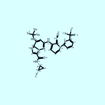 [2H]C([2H])([2H])Nc1cc(NC2=CC=CN(c3cccc(C(F)(F)F)n3)C2=C=O)nn2c(C(=O)N[C@@H]3C[C@@H]3F)cnc12